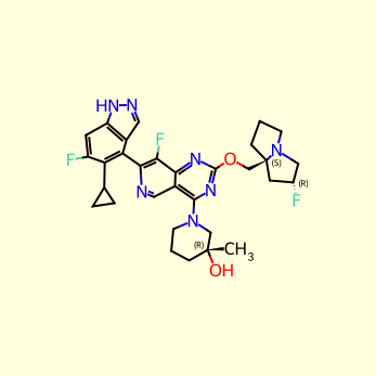 C[C@@]1(O)CCCN(c2nc(OC[C@@]34CCCN3C[C@H](F)C4)nc3c(F)c(-c4c(C5CC5)c(F)cc5[nH]ncc45)ncc23)C1